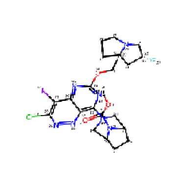 CC(C)(C)OC(=O)N1C2CCC1CN(c1nc(OC[C@@]34CCCN3C[C@H](F)C4)nc3c(I)c(Cl)nnc13)C2